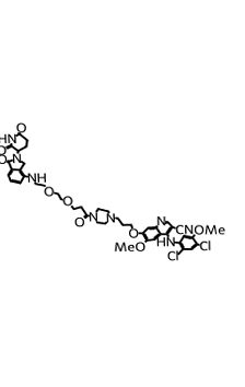 COc1cc(Nc2c(C#N)cnc3cc(OCCCN4CCN(C(=O)CCOCCOCCNc5cccc6c5CN(C5CCC(=O)NC5=O)C6=O)CC4)c(OC)cc23)c(Cl)cc1Cl